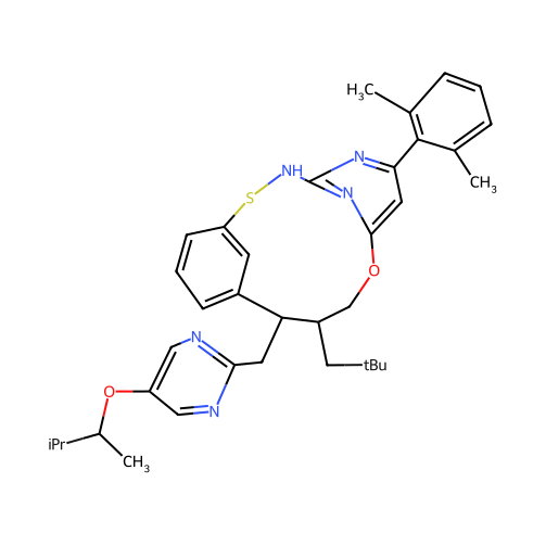 Cc1cccc(C)c1-c1cc2nc(n1)NSc1cccc(c1)C(Cc1ncc(OC(C)C(C)C)cn1)C(CC(C)(C)C)CO2